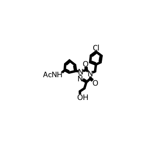 CC(=O)Nc1cccc(-n2nc(CCO)c(=O)n(Cc3ccc(Cl)cc3)c2=O)c1